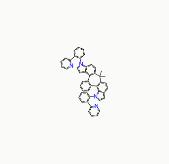 CC1(C)c2ccc3c(ccn3-c3ccccc3-c3ccccn3)c2-c2ccccc2-c2c1ccc1ccn(-c3ccccc3-c3ccccn3)c21